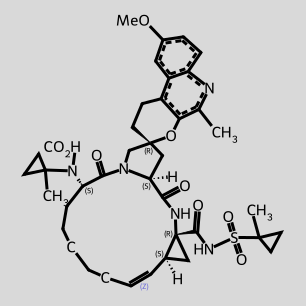 COc1ccc2nc(C)c3c(c2c1)CC[C@]1(C[C@H]2C(=O)N[C@]4(C(=O)NS(=O)(=O)C5(C)CC5)C[C@H]4/C=C\CCCCC[C@H](N(C(=O)O)C4(C)CC4)C(=O)N2C1)O3